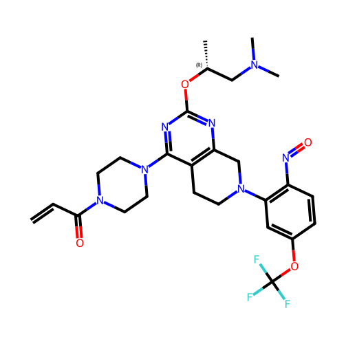 C=CC(=O)N1CCN(c2nc(O[C@H](C)CN(C)C)nc3c2CCN(c2cc(OC(F)(F)F)ccc2N=O)C3)CC1